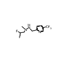 CN(CC(F)F)NCc1ccc(C(F)(F)F)cn1